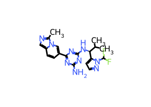 Cc1ncc2ccc(-c3nc(N)nc(N[C@H](c4ccnn4C(F)F)C(C)C)n3)cn12